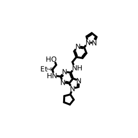 CC[C@H](CO)Nc1nc(NCc2ccc(-n3cccn3)nc2)c2ncn(C3CCCC3)c2n1